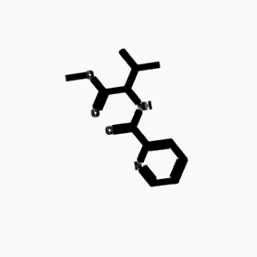 COC(=O)C(NC(=O)c1ccccn1)C(C)C